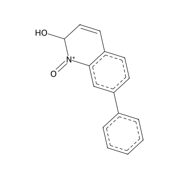 O=[N+]1c2cc(-c3ccccc3)ccc2C=CC1O